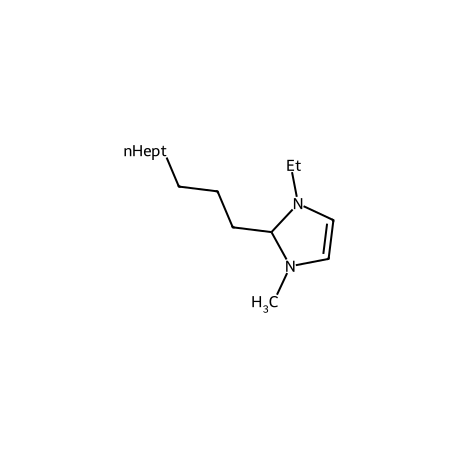 CCCCCCCCCCC1N(C)C=CN1CC